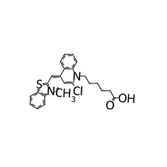 C[n+]1c(/C=C2\C=C(Cl)N(CCCCCC(=O)O)c3ccccc32)sc2ccccc21